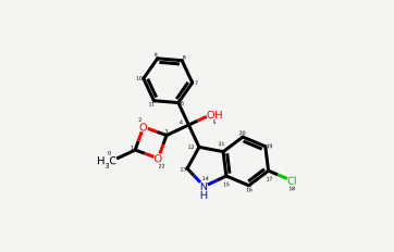 CC1OC(C(O)(c2ccccc2)C2CNc3cc(Cl)ccc32)O1